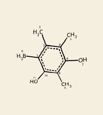 Bc1c(C)c(C)c(O)c(C)c1O